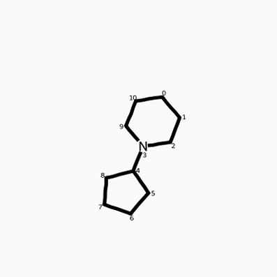 C1CCN(C2CCCC2)CC1